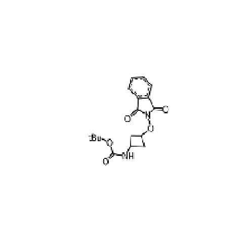 CC(C)(C)OC(=O)NC1CC(ON2C(=O)c3ccccc3C2=O)C1